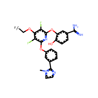 Cn1ccnc1-c1cccc(Oc2nc(Oc3cc(C(=N)N)ccc3O)c(F)c(OCC(F)(F)F)c2F)c1